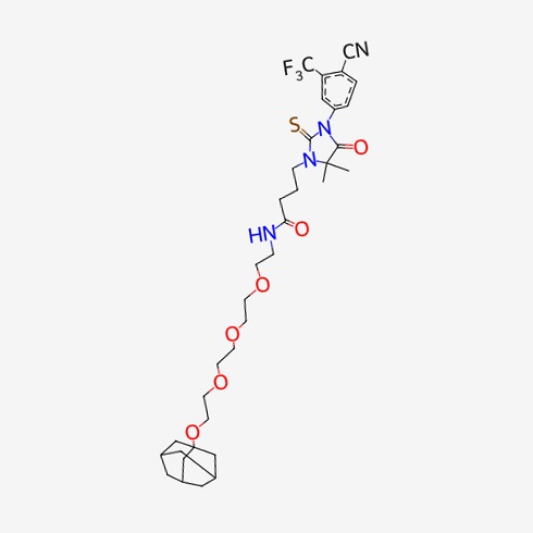 CC1(C)C(=O)N(c2ccc(C#N)c(C(F)(F)F)c2)C(=S)N1CCCC(=O)NCCOCCOCCOCCOC12CC3CC(CC(C3)C1)C2